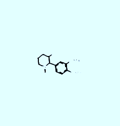 COc1ccc(C2C(O)CCCN2C)cc1OC